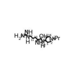 CC(C)N1CCC(NC(O)[C@@H](N)CCCNC(=N)N)CC1